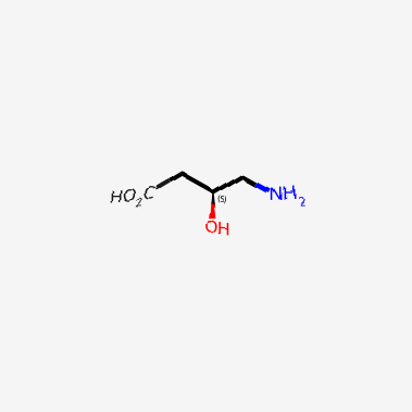 NC[C@@H](O)CC(=O)O